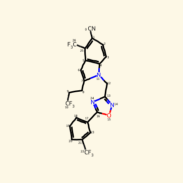 N#Cc1ccc2c(cc(CCC(F)(F)F)n2Cc2noc(-c3cccc(C(F)(F)F)c3)n2)c1C(F)(F)F